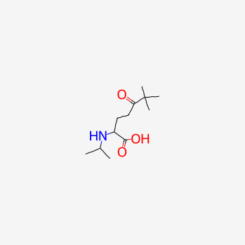 CC(C)NC(CCC(=O)C(C)(C)C)C(=O)O